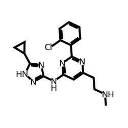 CNCCc1cc(Nc2n[nH]c(C3CC3)n2)nc(-c2ccccc2Cl)n1